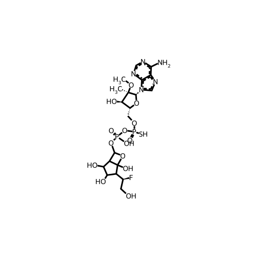 CO[C@]1(C)[C@H](O)[C@@H](COP(=O)(S)OP(=O)(O)OC2OC3(O)C2C(O)C(O)C3[C@@H](F)CO)O[C@H]1n1cnc2c(N)ncnc21